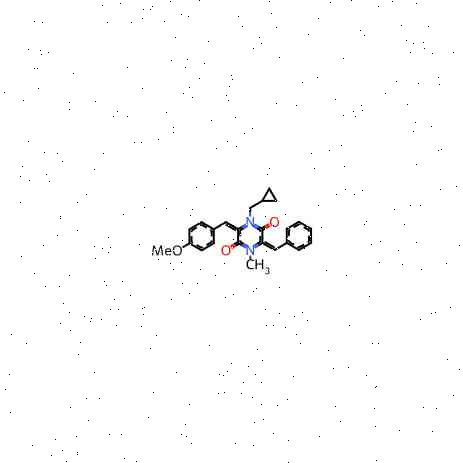 COc1ccc(C=c2c(=O)n(C)c(=Cc3ccccc3)c(=O)n2CC2CC2)cc1